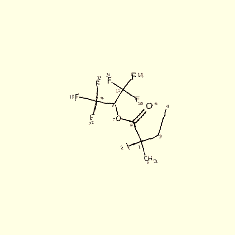 CC(I)(CI)C(=O)OC(C(F)(F)F)C(F)(F)F